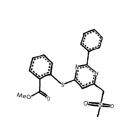 COC(=O)c1ccccc1Sc1cc(CS(C)(=O)=O)nc(-c2ccccc2)n1